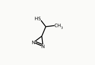 CC(S)C1N=N1